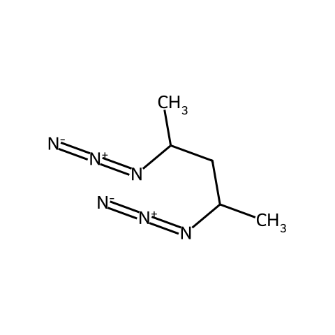 CC(CC(C)N=[N+]=[N-])N=[N+]=[N-]